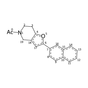 CC(=O)N1CCc2oc(-c3ccc4ccccc4c3)cc2C1